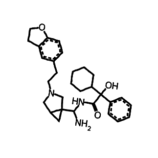 NC(NC(=O)C(O)(c1ccccc1)C1CCCCC1)C12CC1CN(CCc1ccc3c(c1)CCO3)C2